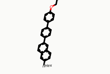 C=CCOc1ccc(-c2ccc(-c3ccc4cc(CCCCCC)ccc4c3)cc2)cc1